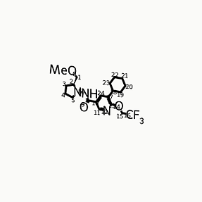 COC[C@@H]1CCCN1NC(=O)c1cnc(OCC(F)(F)F)c(C2CCCCC2)c1